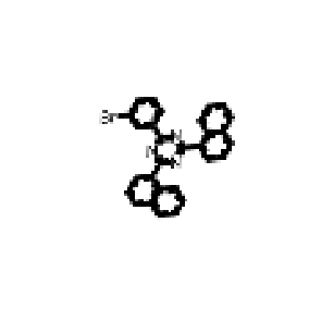 Brc1cccc(-c2nc(-c3cccc4ccccc34)nc(-c3cccc4ccccc34)n2)c1